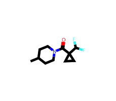 CC1CCN(C(=O)C2(C(F)F)CC2)CC1